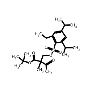 CCc1cc(C(C)C)cc(C(C)C)c1S(=O)(=O)OCC(C)(C(C)=O)C(=O)OC(C)(C)C